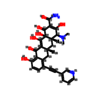 CN(C)[C@@H]1C(O)=C(C(N)=O)C(=O)[C@@]2(O)C(O)=C3C(=O)c4c(O)ccc(C#Cc5cccnc5)c4C[C@H]3C[C@@H]12